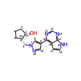 O[C@H]1CCC[C@H]1Cn1cc(-c2ncnc3[nH]ccc23)cn1